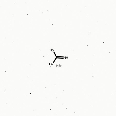 Br.N=C(N)S